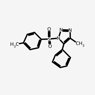 Cc1ccc(S(=O)(=O)n2nnc(C)c2-c2ccccc2)cc1